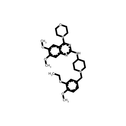 CCOc1cc(CN2CCC(Nc3nc(N4CCOCC4)c4cc(OC)c(OC)cc4n3)CC2)ccc1OC